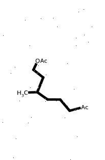 CC(=O)CCCC(C)CCOC(C)=O